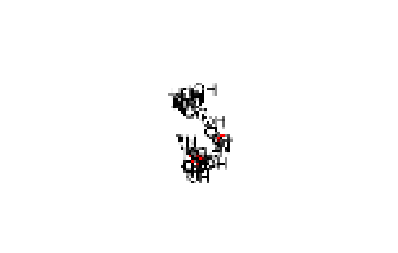 CN1CC[C@]23CCCC[C@H]2[C@H]1Cc1ccc(O)cc13.CO[C@@]12CC[C@@]3(C[C@@H]1[C@](C)(O)C(C)(C)C)[C@H]1Cc4ccc(O)c5c4[C@@]3(CCN1CC1CC1)[C@H]2O5.COc1ccc2c3c1O[C@H]1[C@@H](O)CC[C@H]4[C@@H](C2)N(C)CC[C@@]341